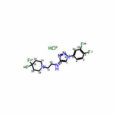 Cl.Fc1ccc(-n2cc(NCCN3CCC(F)(F)CC3)nn2)cc1F